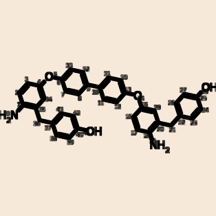 Nc1ccc(Oc2ccc(-c3ccc(Oc4ccc(N)c(Cc5ccc(O)cc5)c4)cc3)cc2)cc1Cc1ccc(O)cc1